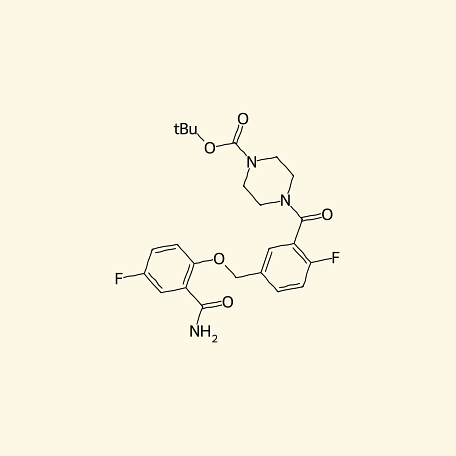 CC(C)(C)OC(=O)N1CCN(C(=O)c2cc(COc3ccc(F)cc3C(N)=O)ccc2F)CC1